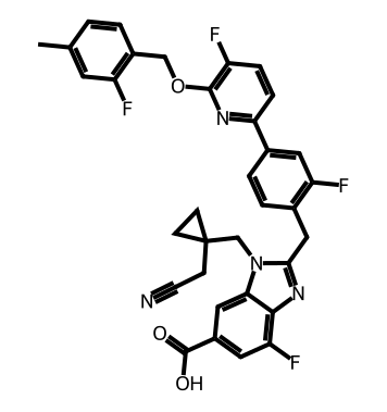 Cc1ccc(COc2nc(-c3ccc(Cc4nc5c(F)cc(C(=O)O)cc5n4CC4(CC#N)CC4)c(F)c3)ccc2F)c(F)c1